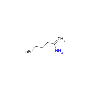 C=C(N)CCCCCC